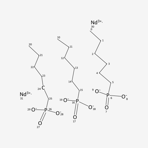 CCCCCCP(=O)([O-])[O-].CCCCCCP(=O)([O-])[O-].CCCCCCP(=O)([O-])[O-].[Nd+3].[Nd+3]